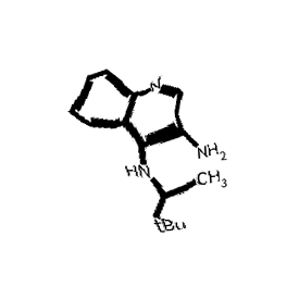 CC(Nc1c(N)cnc2ccccc12)C(C)(C)C